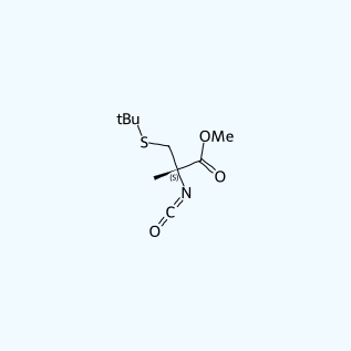 COC(=O)[C@@](C)(CSC(C)(C)C)N=C=O